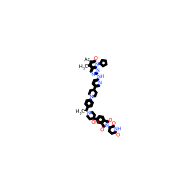 CC(=O)c1c(C)c2cnc(Nc3ccc(C4CCN(c5ccc([C@H](C)N6CCC(O)(c7ccc8c(c7)C(=O)N(C7CCC(=O)NC7=O)C8=O)CC6)cc5)CC4)cn3)nc2n(C2CCCC2)c1=O